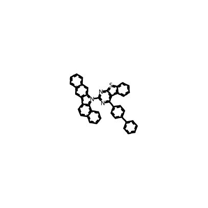 c1ccc(-c2ccc(-c3nc(-n4c5cc6ccccc6cc5c5ccc6ccccc6c54)nc4sc5ccccc5c34)cc2)cc1